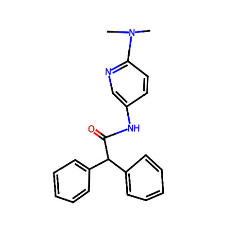 CN(C)c1ccc(NC(=O)C(c2ccccc2)c2ccccc2)cn1